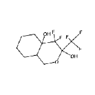 OC12CCCCC1COC(O)(C(F)(F)F)C2(F)F